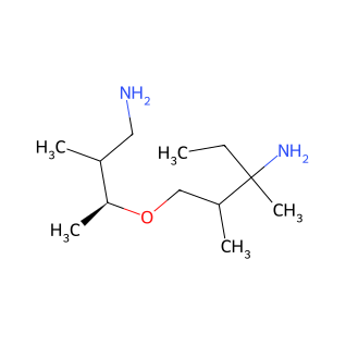 CCC(C)(N)C(C)CO[C@@H](C)C(C)CN